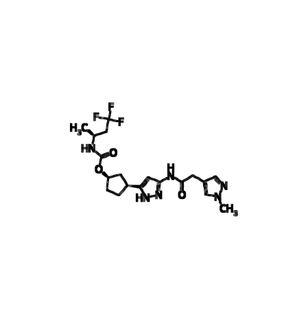 C[C@@H](CC(F)(F)F)NC(=O)O[C@@H]1CC[C@H](c2cc(NC(=O)Cc3cnn(C)c3)n[nH]2)C1